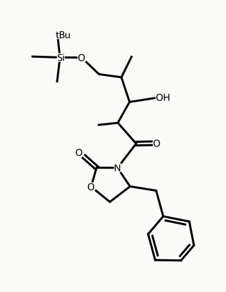 CC(CO[Si](C)(C)C(C)(C)C)C(O)C(C)C(=O)N1C(=O)OCC1Cc1ccccc1